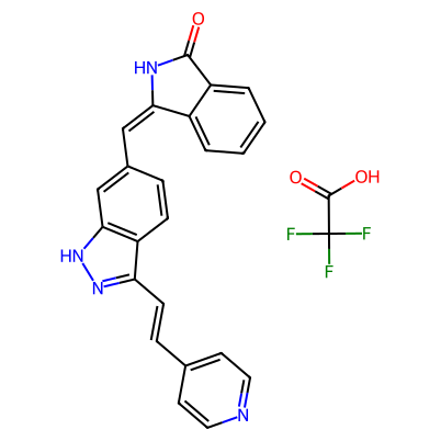 O=C(O)C(F)(F)F.O=C1N/C(=C/c2ccc3c(/C=C/c4ccncc4)n[nH]c3c2)c2ccccc21